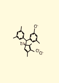 CC1=C[C]([Ti+3])(C(c2cc(C)cc(C)c2)c2cc(C)cc(C)c2)C(C)=C1C.[Cl-].[Cl-].[Cl-]